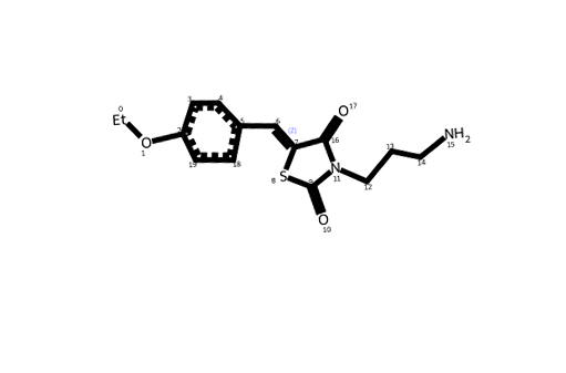 CCOc1ccc(/C=C2\SC(=O)N(CCCN)C2=O)cc1